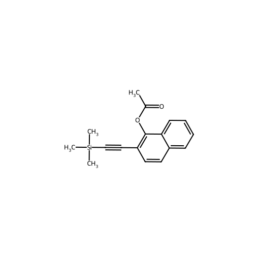 CC(=O)Oc1c(C#C[Si](C)(C)C)ccc2ccccc12